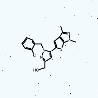 Cc1nn(C)c2sc(-c3cc(CO)nn3Cc3ccccc3Cl)cc12